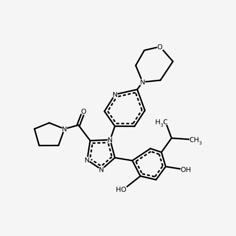 CC(C)c1cc(-c2nnc(C(=O)N3CCCC3)n2-c2ccc(N3CCOCC3)nc2)c(O)cc1O